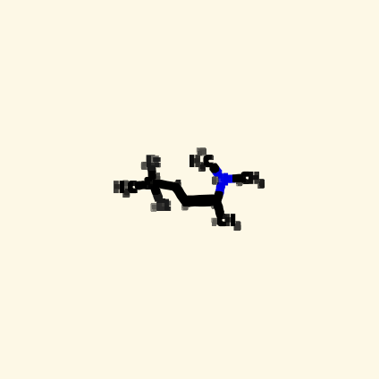 CC[Si](C)(CC)CC=C(C)N(C)C